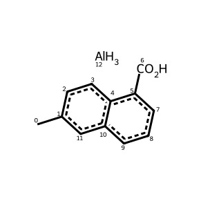 Cc1ccc2c(C(=O)O)cccc2c1.[AlH3]